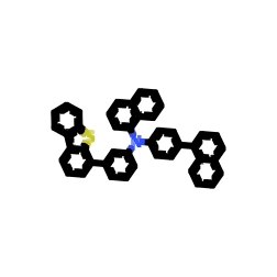 c1cc(-c2cccc3c2sc2ccccc23)cc(N(c2ccc(-c3cccc4ccccc34)cc2)c2cccc3ccccc23)c1